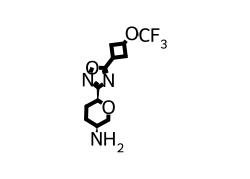 N[C@@H]1CC[C@@H](c2noc(C3CC(OC(F)(F)F)C3)n2)OC1